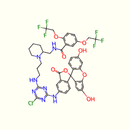 O=C(NCC1CCCCN1CCCNc1nc(Cl)nc(Nc2ccc3c(c2)C(=O)OC32c3ccc(O)cc3Oc3cc(O)ccc32)n1)c1cc(OCC(F)(F)F)ccc1OCC(F)(F)F